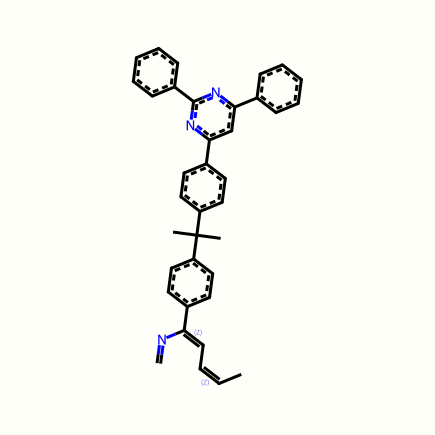 C=N/C(=C\C=C/C)c1ccc(C(C)(C)c2ccc(-c3cc(-c4ccccc4)nc(-c4ccccc4)n3)cc2)cc1